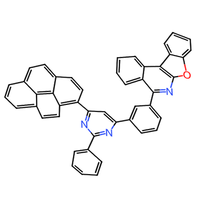 c1ccc(-c2nc(-c3cccc(-c4nc5oc6ccccc6c5c5ccccc45)c3)cc(-c3ccc4ccc5cccc6ccc3c4c56)n2)cc1